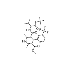 COC(=O)C1=C(C)NC(C)=C(C(=O)NC(C(=O)OC(C)(C)C)C(C)C)C1c1cccc(C(F)(F)F)c1